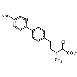 CCCCCCCCCc1cnc(-c2ccc(CCC(C)C(Cl)C(=O)O)cc2)nc1